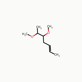 CC=CCC(OC)C(C)OC